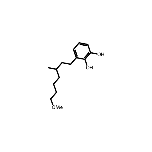 COCCCCC(C)CCc1cccc(O)c1O